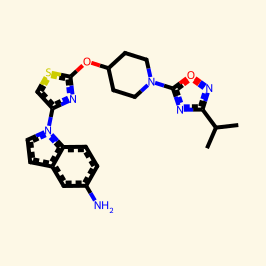 CC(C)c1noc(N2CCC(Oc3nc(-n4ccc5cc(N)ccc54)cs3)CC2)n1